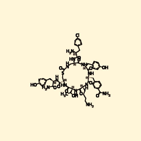 CC(O)[C@@H]1NC(=O)[C@H](CCCCN)NC(=O)[C@@H](Cc2ccc(C(N)=O)cc2)NC(=O)[C@H](Cc2ccc(O)cc2)NC(=O)[C@H](NC(=O)[C@@H](N)Cc2ccc(Cl)cc2)CNC(=O)SC[C@@H](C(=O)N[C@H](Cc2ccc(O)cc2)C(N)=O)NC1=O